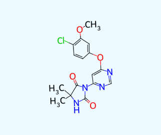 COc1cc(Oc2cc(N3C(=O)NC(C)(C)C3=O)ncn2)ccc1Cl